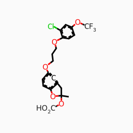 CC1(OC(=O)O)Cc2cc(OCCCOc3ccc(OC(F)(F)F)cc3Cl)ccc2O1